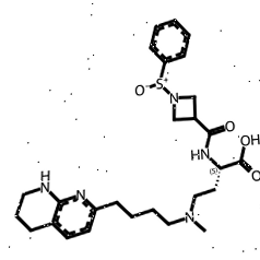 CN(CCCCc1ccc2c(n1)NCCC2)CC[C@H](NC(=O)C1CN([S+]([O-])c2ccccc2)C1)C(=O)O